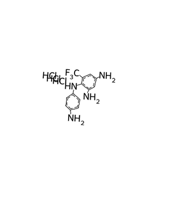 Cl.Cl.Cl.Nc1ccc(Nc2c(N)cc(N)cc2C(F)(F)F)cc1